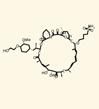 CO[C@@H]1C[C@H](C[C@@H](C)[C@@H]2CC(=O)[C@H](C)/C=C(\C)[C@@H](O)[C@@H](OC)C(=O)[C@H](C)C[C@H](C)/C=C/C=C/C=C(\C)[C@@H](OCCCCS(N)(=O)=O)C[C@@H]3CC[C@@H](C)[C@@](O)(O3)C(=O)C(=O)N3CCCC[C@H]3C(=O)O2)CC[C@H]1OCCO